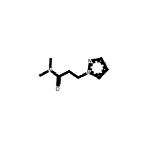 CN(C)C(=O)CCn1c[c]cn1